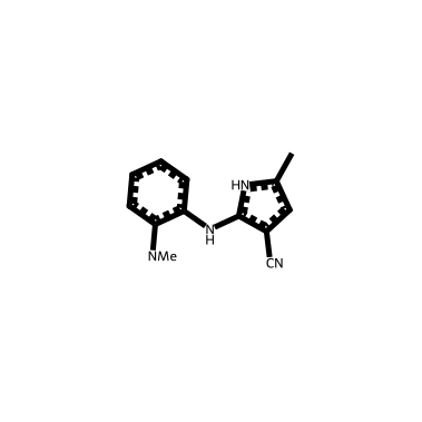 CNc1ccccc1Nc1[nH]c(C)cc1C#N